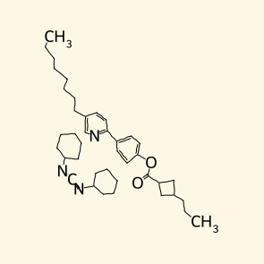 C(=NC1CCCCC1)=NC1CCCCC1.CCCCCCCCc1ccc(-c2ccc(OC(=O)C3CC(CCC)C3)cc2)nc1